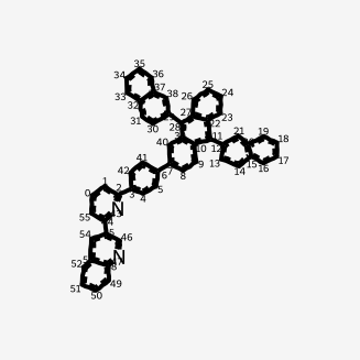 c1cc(-c2ccc(-c3ccc4c(-c5ccc6ccccc6c5)c5ccccc5c(-c5ccc6ccccc6c5)c4c3)cc2)nc(-c2cnc3ccccc3c2)c1